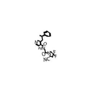 CC(Cc1cnccc1C(=O)NCC(=O)N1CC(F)(F)C[C@H]1C#N)c1ccccc1